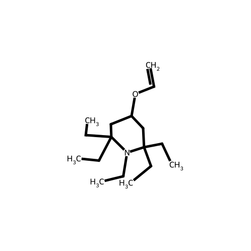 C=COC1CC(CC)(CC)N(CC)C(CC)(CC)C1